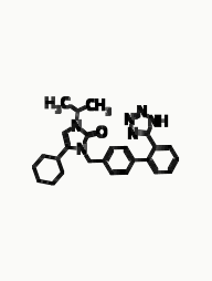 CC(C)n1cc(C2CCCCC2)n(Cc2ccc(-c3ccccc3-c3nnn[nH]3)cc2)c1=O